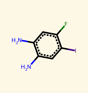 Nc1cc(F)c(I)cc1N